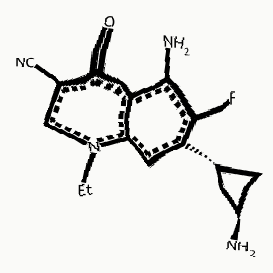 CCn1cc(C#N)c(=O)c2c(N)c(F)c([C@@H]3C[C@H]3N)cc21